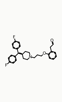 O=CCc1ccccc1OCCCN1CCC(=C(c2ccc(F)cc2)c2ccc(F)cc2)CC1